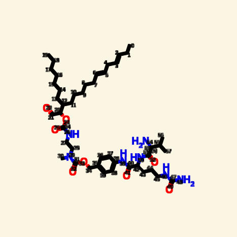 CCC=CCC=CCCCCCC(CCCCCCC)C(C=O)OC(=O)NCCN(C)C(=O)OCc1ccc(NC(=O)[C@H](CCCNC(N)=O)NC(=O)[C@@H](N)C(C)C)cc1